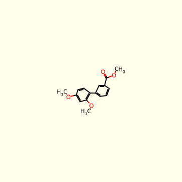 COC(=O)c1cccc(-c2ccc(OC)cc2OC)c1